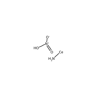 O=[N+]([O-])O.[NH2][Ce]